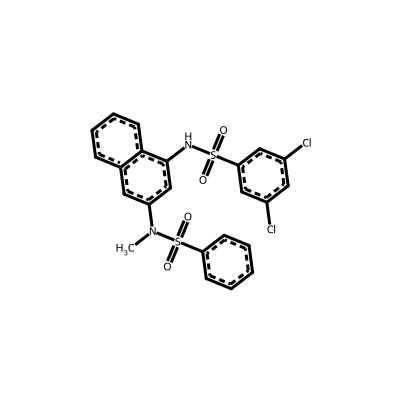 CN(c1cc(NS(=O)(=O)c2cc(Cl)cc(Cl)c2)c2ccccc2c1)S(=O)(=O)c1ccccc1